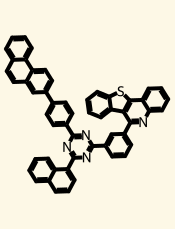 c1cc(-c2nc(-c3ccc(-c4ccc5c(ccc6ccccc65)c4)cc3)nc(-c3cccc4ccccc34)n2)cc(-c2nc3ccccc3c3sc4ccccc4c23)c1